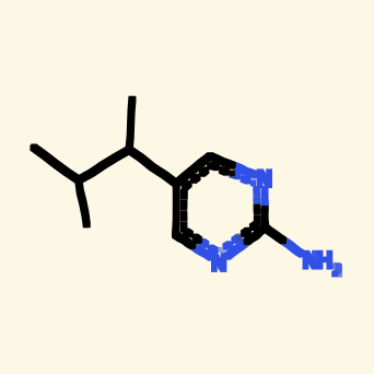 CC(C)C(C)c1cnc(N)nc1